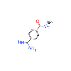 [CH2]CCNC(=O)c1ccc(C(=N)N)cc1